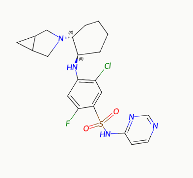 O=S(=O)(Nc1ccncn1)c1cc(Cl)c(N[C@@H]2CCCC[C@H]2N2CC3CC3C2)cc1F